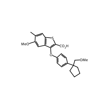 COCC1(c2ccc(Oc3c(C(=O)O)sc4cc(C)c(OC)cc34)cc2)CCCC1